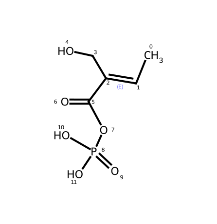 C/C=C(\CO)C(=O)OP(=O)(O)O